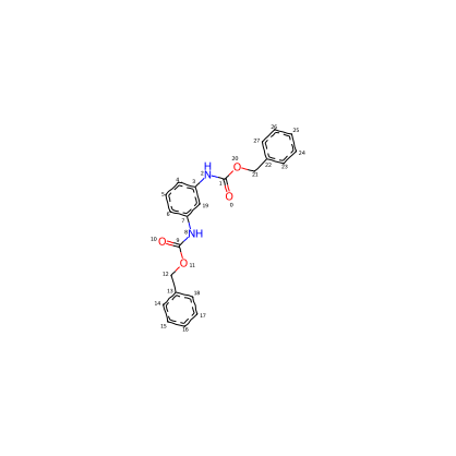 O=C(Nc1[c]ccc(NC(=O)OCc2ccccc2)c1)OCc1ccccc1